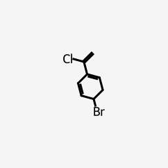 C=C(Cl)C1=CCC(Br)C=C1